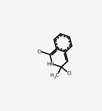 CC1(Cl)C=c2ccccc2=C(Cl)N1